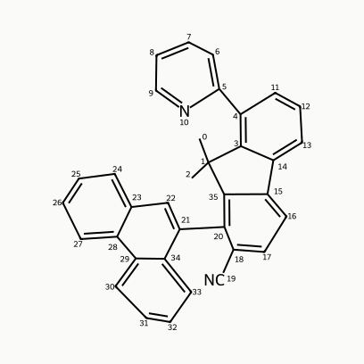 CC1(C)c2c(-c3ccccn3)cccc2-c2ccc(C#N)c(-c3cc4ccccc4c4ccccc34)c21